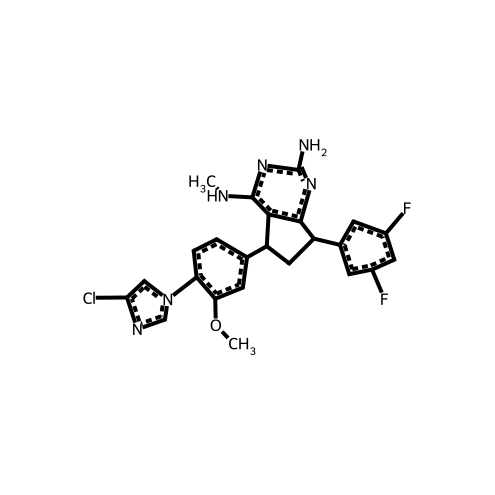 CNc1nc(N)nc2c1C(c1ccc(-n3cnc(Cl)c3)c(OC)c1)CC2c1cc(F)cc(F)c1